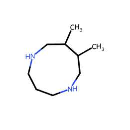 CC1CNCCCNCC1C